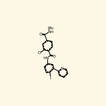 CC(C)(C)NC(=O)c1ccc(C(=O)Nc2ccc(I)c(-c3ccccn3)c2)c(Cl)c1